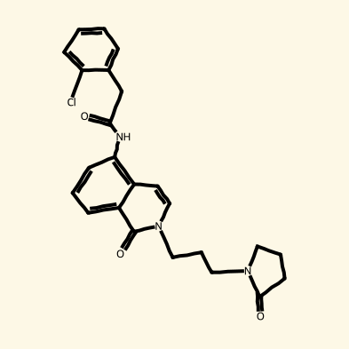 O=C(Cc1ccccc1Cl)Nc1cccc2c(=O)n(CCCN3CCCC3=O)ccc12